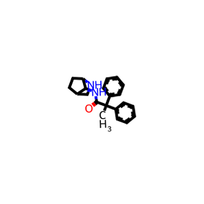 CC(C(=O)NC1C2CCC1NC2)(c1ccccc1)c1ccccc1